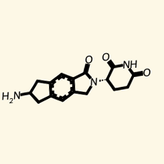 NC1Cc2cc3c(cc2C1)C(=O)N([C@H]1CCC(=O)NC1=O)C3